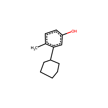 Cc1ccc(O)cc1C1CCCCC1